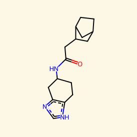 O=C(CC1CC2CCC1C2)NC1CCc2[nH]cnc2C1